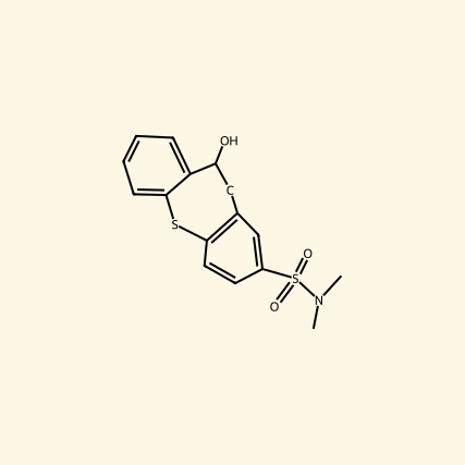 CN(C)S(=O)(=O)c1ccc2c(c1)CC(O)c1ccccc1S2